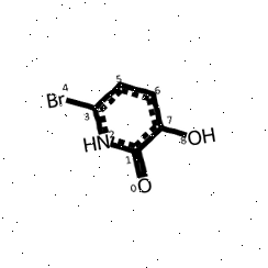 O=c1[nH]c(Br)ccc1O